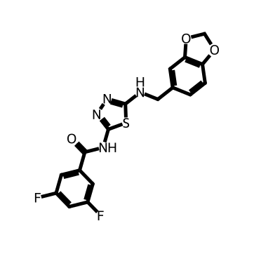 O=C(Nc1nnc(NCc2ccc3c(c2)OCO3)s1)c1cc(F)cc(F)c1